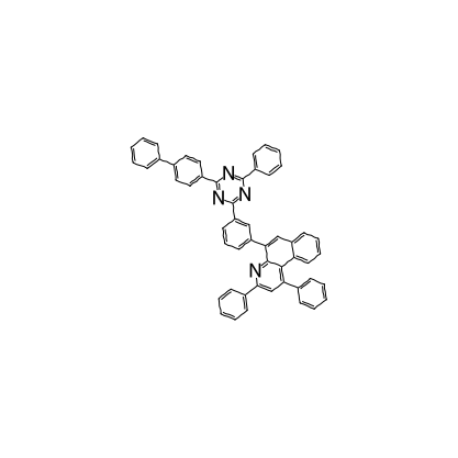 c1ccc(-c2ccc(-c3nc(-c4ccccc4)nc(-c4cccc(-c5cc6ccccc6c6c(-c7ccccc7)cc(-c7ccccc7)nc56)c4)n3)cc2)cc1